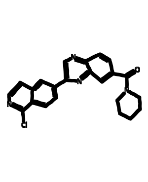 O=C(c1ccc2ncc(-c3ccc4c(Cl)nccc4c3)nc2c1)N1CCCCC1